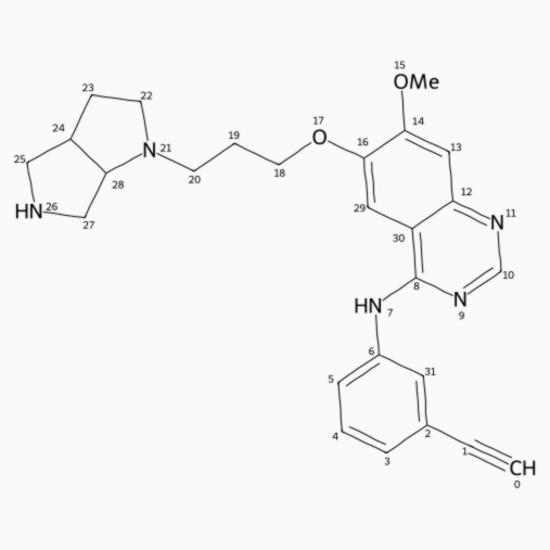 C#Cc1cccc(Nc2ncnc3cc(OC)c(OCCCN4CCC5CNCC54)cc23)c1